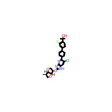 C[C@@H]1CO[C@H]2[C@@H]1OC[C@H]2Oc1nc2nc(-c3ccc(-c4ccc(C(C)(C)O)c(F)c4)cc3)c(Cl)cc2[nH]1